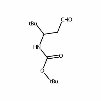 CC(C)(C)OC(=O)NC(CC=O)C(C)(C)C